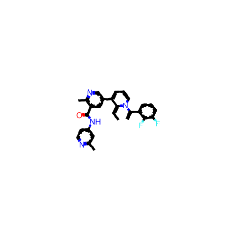 C=C(c1cccc(F)c1F)N1C=CC=C(c2cnc(C)c(C(=O)Nc3ccnc(C)c3)c2)/C1=C/C